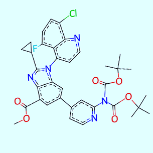 COC(=O)c1cc(-c2ccnc(N(C(=O)OC(C)(C)C)C(=O)OC(C)(C)C)c2)cc2c1nc(C1CC1)n2-c1ccnc2c(Cl)ccc(F)c12